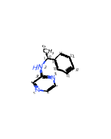 C[C@H](Nc1cnccn1)c1ccccc1